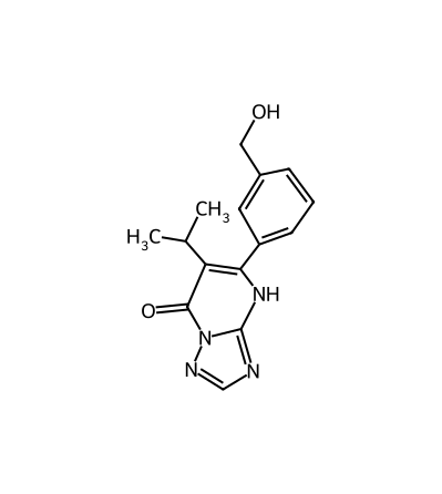 CC(C)c1c(-c2cccc(CO)c2)[nH]c2ncnn2c1=O